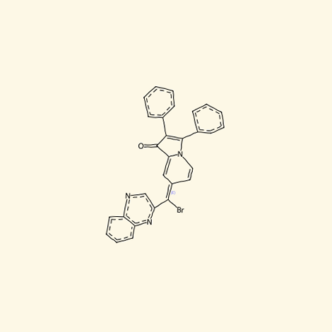 O=C1C2=C/C(=C(/Br)c3cnc4ccccc4n3)C=CN2C(c2ccccc2)=C1c1ccccc1